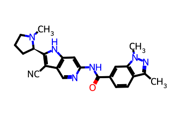 Cc1nn(C)c2cc(C(=O)Nc3cc4[nH]c([C@H]5CCCN5C)c(C#N)c4cn3)ccc12